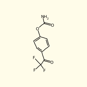 NC(=O)Oc1ccc(C(=O)C(F)(F)F)cc1